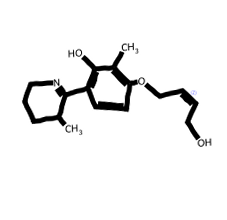 Cc1c(OC/C=C\CO)ccc(C2=NCCCC2C)c1O